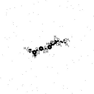 CCN(CC)CCNC(=O)c1c(C)[nH]c(C=C2C(=O)Nc3cc(NC(=O)Nc4cccc(NC(=O)c5cc(-n6cnc(C)c6)cc(C(F)(F)F)c5)c4)ccc32)c1C